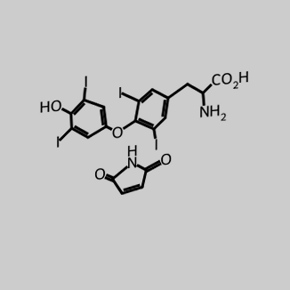 NC(Cc1cc(I)c(Oc2cc(I)c(O)c(I)c2)c(I)c1)C(=O)O.O=C1C=CC(=O)N1